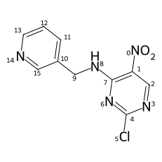 O=[N+]([O-])c1cnc(Cl)nc1NCc1cccnc1